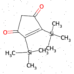 C[Si](C)(C)C1=C([Si](C)(C)C)C(=O)CC1=O